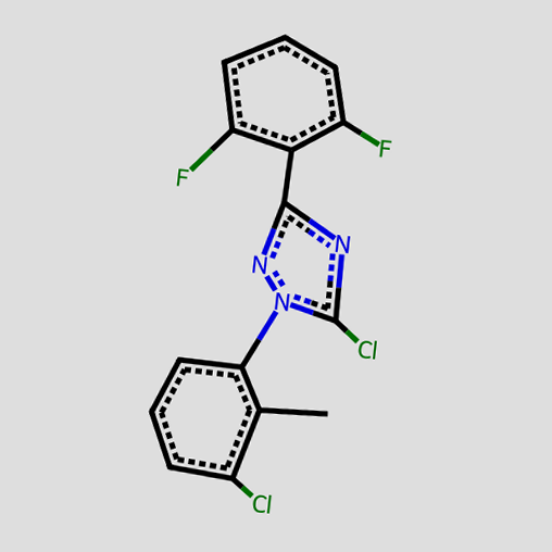 Cc1c(Cl)cccc1-n1nc(-c2c(F)cccc2F)nc1Cl